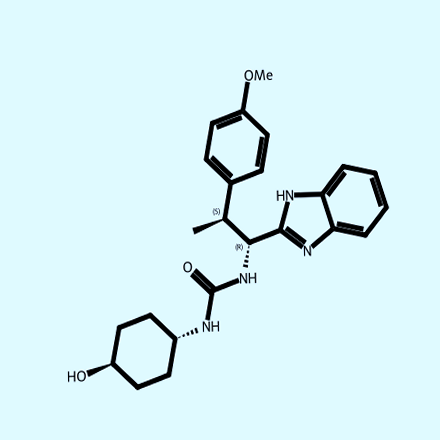 COc1ccc([C@H](C)[C@@H](NC(=O)N[C@H]2CC[C@H](O)CC2)c2nc3ccccc3[nH]2)cc1